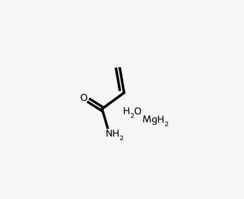 C=CC(N)=O.O.[MgH2]